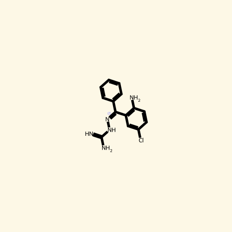 N=C(N)N/N=C(/c1ccccc1)c1cc(Cl)ccc1N